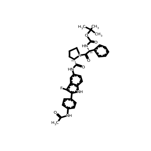 CC(=O)Nc1ccc(-c2[nH]c3ccc(NC(=O)[C@@H]4CCCN4C(=O)[C@H](NC(=O)OC(C)(C)C)c4ccccc4)cc3c2F)cc1